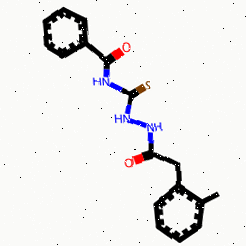 Cc1ccccc1CC(=O)NNC(=S)NC(=O)c1ccccc1